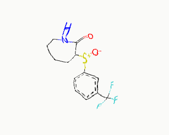 O=C1NCCCCC1[S+]([O-])c1cccc(C(F)(F)F)c1